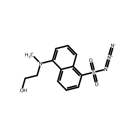 CN(CCO)c1cccc2c(S(=O)(=O)N=[N+]=[N-])cccc12